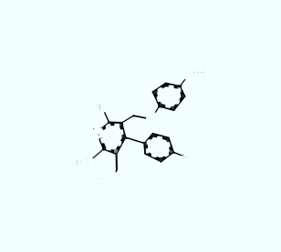 CC(C)c1nc(C(C)C)c(CSc2ccc(O)cc2)c(-c2ccc(F)cc2)c1CO